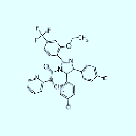 CCOc1cc(C(F)(F)F)ccc1C1=NC(c2ccc(Cl)cc2)C(c2ccc(Cl)cc2)N1C(=O)N(C)c1ccccn1